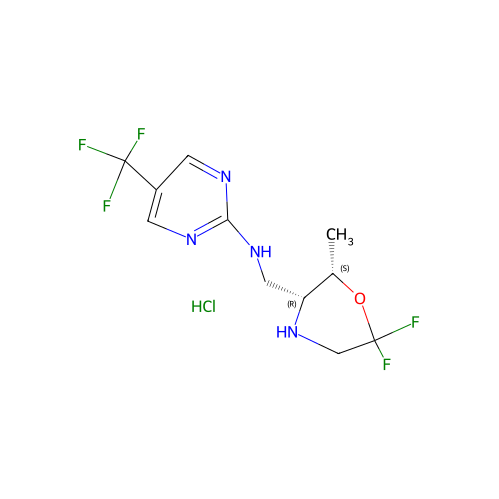 C[C@@H]1OC(F)(F)CN[C@@H]1CNc1ncc(C(F)(F)F)cn1.Cl